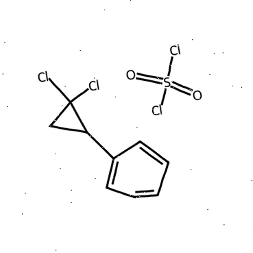 ClC1(Cl)CC1c1ccccc1.O=S(=O)(Cl)Cl